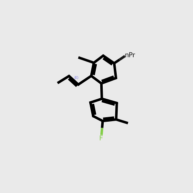 C/C=C/c1c(C)cc(CCC)cc1-c1ccc(F)c(C)c1